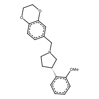 COc1ccccc1[C@@H]1CCN(Cc2ccc3c(c2)OCCO3)C1